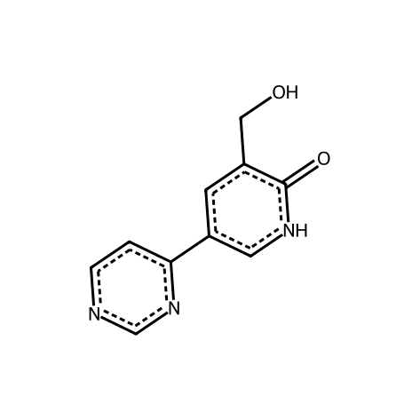 O=c1[nH]cc(-c2ccncn2)cc1CO